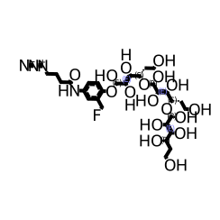 [N-]=[N+]=NCCCC(=O)Nc1ccc(O[C@H](O)/C(O)=C(\O)[C@H](CCO)O[C@@H](O)/C(O)=C(\O)[C@H](CCO)O[C@@H](O)/C(O)=C(\O)[C@H](O)CCO)c(CF)c1